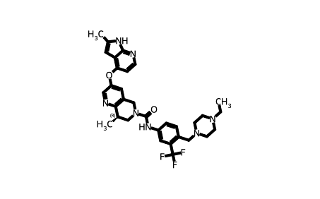 CCN1CCN(Cc2ccc(NC(=O)N3Cc4cc(Oc5ccnc6[nH]c(C)cc56)cnc4[C@H](C)C3)cc2C(F)(F)F)CC1